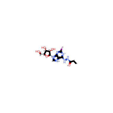 CCC(=O)NNc1nc(I)nc2c1ncn2[C@@H]1O[C@H](CO)[C@@H](O)[C@H]1O